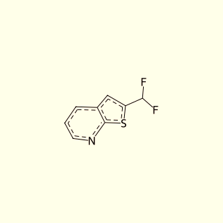 FC(F)c1cc2cccnc2s1